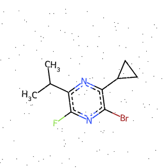 CC(C)c1nc(C2CC2)c(Br)nc1F